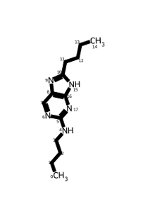 CCCCNc1ncc2nc(CCCC)[nH]c2n1